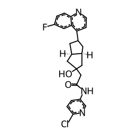 O=C(CC1(O)C[C@H]2CC(c3ccnc4ccc(F)cc34)C[C@H]2C1)Nc1ccc(Cl)nc1